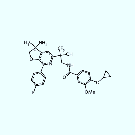 COc1cc(C(=O)NCC(O)(c2cc3c(c(-c4ccc(F)cc4)n2)OC[C@]3(C)N)C(F)(F)F)ccc1OC1CC1